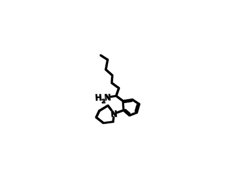 CCCCCCC(N)c1ccccc1N1CCCCC1